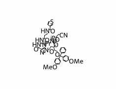 COc1ccc(C(OCC2OC(n3cnc4c(=O)[nH]c(NC(=O)CCNC(=O)c5ccsc5)nc43)CC2OP(OCCC#N)N(C(C)C)C(C)C)(c2ccccc2)c2ccc(OC)cc2)cc1